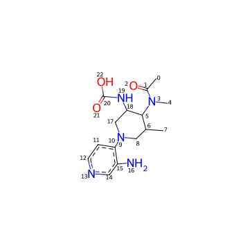 CC(=O)N(C)C1C(C)CN(c2ccncc2N)CC1NC(=O)O